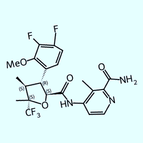 COc1c([C@@H]2[C@@H](C(=O)Nc3ccnc(C(N)=O)c3C)O[C@](C)(C(F)(F)F)[C@H]2C)ccc(F)c1F